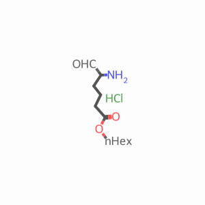 CCCCCCOC(=O)CCCC(N)C=O.Cl